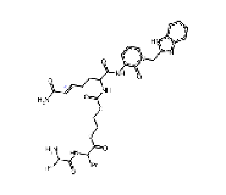 CC(C)C(N)C(=O)NC(C(=O)OCCOC(=O)NC(CC/C=C/C(N)=O)C(=O)Nc1cccn(Cc2nc3ccccc3[nH]2)c1=O)C(C)C